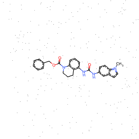 Cn1ccc2cc(NC(=O)Nc3cccc4c3CCCN4C(=O)OCc3ccccc3)ccc21